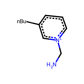 CCCCc1ccc[n+](CN)c1